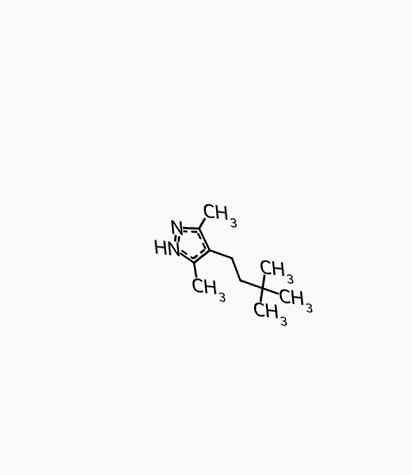 Cc1n[nH]c(C)c1CCC(C)(C)C